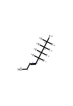 OC/C=C/C(F)(F)C(F)(F)C(F)(F)C(F)(F)F